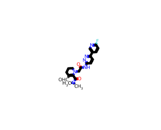 CN(C)C(=O)C1=C(C=O)CCCN1CC(=O)Nc1ccc(-c2ccc(F)nc2)nn1